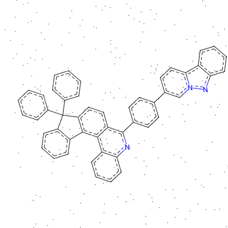 c1ccc(C2(c3ccccc3)c3ccccc3-c3c2ccc2c(-c4ccc(-c5ccc6c7ccccc7nn6c5)cc4)nc4ccccc4c32)cc1